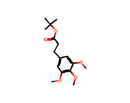 COc1cc(CCC(=O)OC(C)(C)C)cc(OC)c1OC